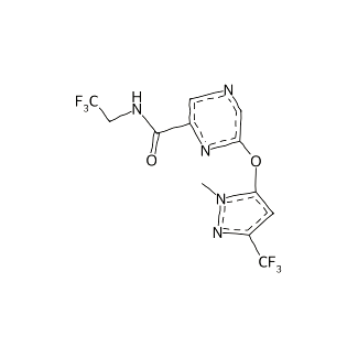 Cn1nc(C(F)(F)F)cc1Oc1cncc(C(=O)NCC(F)(F)F)n1